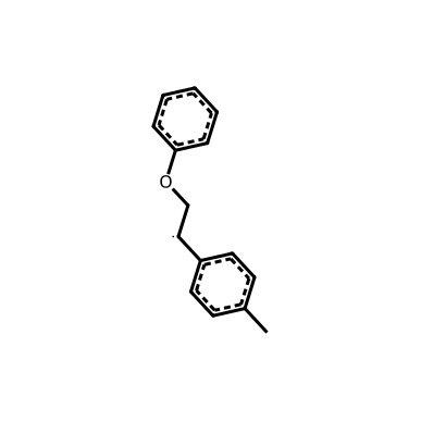 Cc1ccc([CH]COc2ccccc2)cc1